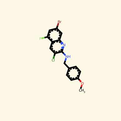 COc1ccc(CNc2nc3cc(Br)cc(F)c3cc2Cl)cc1